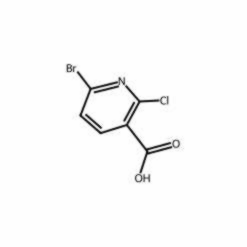 O=C(O)c1ccc(Br)nc1Cl